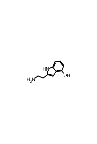 NCCc1cc2c(O)cccc2[nH]1